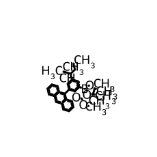 CCCC(c1cc(B2OC(C)(C)C(C)(C)O2)c(OCOC)c(-c2c3ccccc3cc3ccccc23)c1)C(C)(C)C